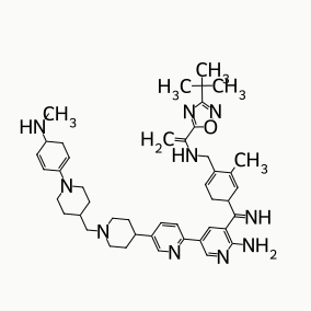 C=C(NCC1=CCC(C(=N)c2cc(-c3ccc(C4CCN(CC5CCN(C6=CCC(NC)C=C6)CC5)CC4)cn3)cnc2N)C=C1C)c1nc(C(C)(C)C)no1